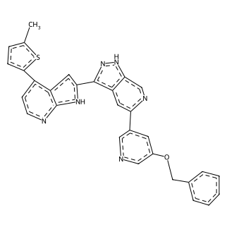 Cc1ccc(-c2ccnc3[nH]c(-c4n[nH]c5cnc(-c6cncc(OCc7ccccc7)c6)cc45)cc23)s1